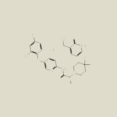 C[C@@H](C(=O)Nc1ccc(Oc2ccc(F)cc2F)cn1)N1CCC(F)(F)[C@@H](c2c[nH]c(=O)c([C@@H](N)C(F)(F)F)c2)C1